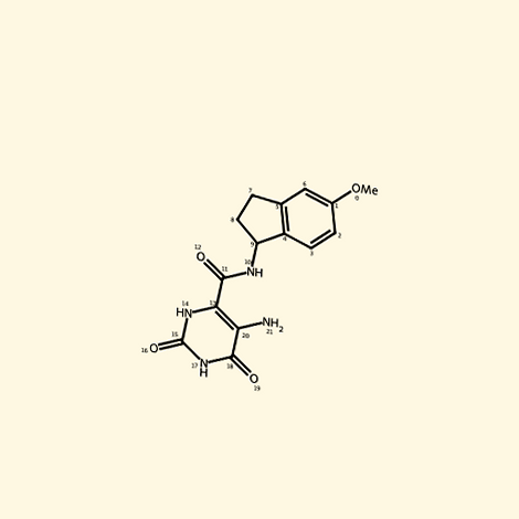 COc1ccc2c(c1)CCC2NC(=O)c1[nH]c(=O)[nH]c(=O)c1N